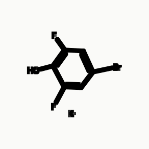 Oc1c(F)cc(Br)cc1F.[K]